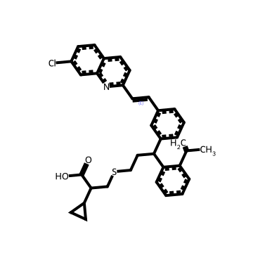 C=C(C)c1ccccc1C(CCSCC(C(=O)O)C1CC1)c1cccc(/C=C/c2ccc3ccc(Cl)cc3n2)c1